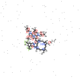 CCCCOC(C)c1c(C)c2cc3nc(c4c5[nH]c(cc6nc(cc1[nH]2)C(C)=C6CC)c(C)c5C(=O)N(Cc1cc(C(F)(F)F)cc(C(F)(F)F)c1)C4=O)[C@@H](CCC(=O)N(CC(=O)N(CC(=O)OC(C)(C)C)CC(=O)OC(C)(C)C)CC(=O)N(CC(=O)OC(C)(C)C)CC(=O)OC(C)(C)C)[C@@H]3C